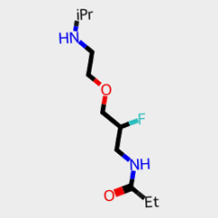 CCC(=O)NCC(F)COCCNC(C)C